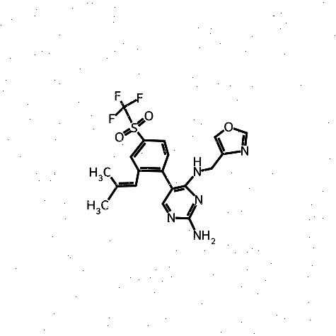 CC(C)=Cc1cc(S(=O)(=O)C(F)(F)F)ccc1-c1cnc(N)nc1NCc1cocn1